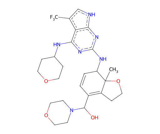 CC12OCCC1=C(C(O)N1CCOCC1)C=CC2Nc1nc(NC2CCOCC2)c2c(C(F)(F)F)c[nH]c2n1